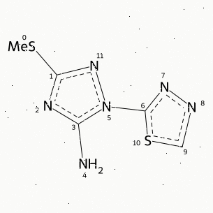 CSc1nc(N)n(-c2nncs2)n1